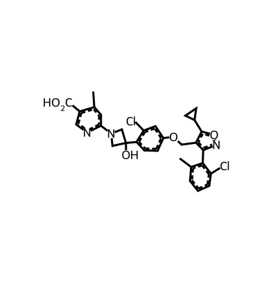 Cc1cc(N2CC(O)(c3ccc(OCc4c(-c5c(C)cccc5Cl)noc4C4CC4)cc3Cl)C2)ncc1C(=O)O